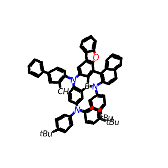 Cc1cc(-c2ccccc2)ccc1N1c2ccc(N(c3ccc(C(C)(C)C)cc3)c3ccc(C(C)(C)C)cc3)cc2B2c3c1cc1c(oc4ccccc41)c3-c1c(ccc3ccccc13)N2c1ccc(C(C)(C)C)cc1